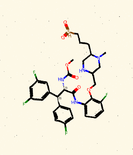 COC(=O)N[C@H](C(=O)Nc1cccc(F)c1OCC1CN(C)C(CCC[SH](=O)=O)CN1)[C@@H](c1ccc(F)cc1)c1cc(F)cc(F)c1